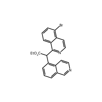 CCOC(=O)C(c1cccc2cnccc12)c1nccc2c(Br)cccc12